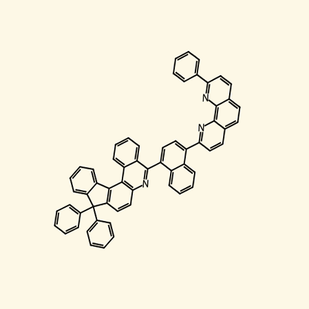 c1ccc(-c2ccc3ccc4ccc(-c5ccc(-c6nc7ccc8c(c7c7ccccc67)-c6ccccc6C8(c6ccccc6)c6ccccc6)c6ccccc56)nc4c3n2)cc1